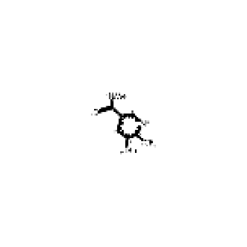 CNC(=O)c1cnc(C(F)(F)F)c(C(C)(C)C)c1